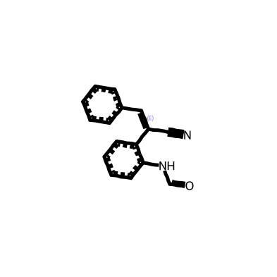 N#C/C(=C/c1ccccc1)c1ccccc1NC=O